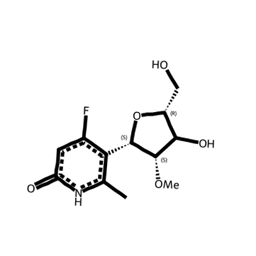 CO[C@H]1C(O)[C@@H](CO)O[C@H]1c1c(F)cc(=O)[nH]c1C